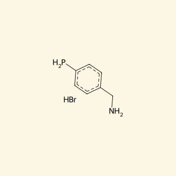 Br.NCc1ccc(P)cc1